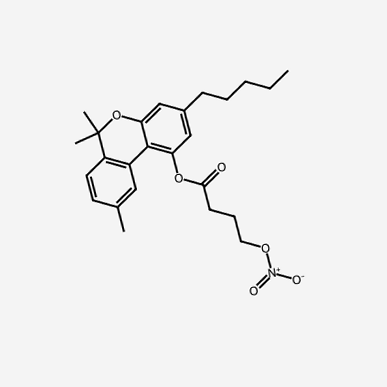 CCCCCc1cc(OC(=O)CCCO[N+](=O)[O-])c2c(c1)OC(C)(C)c1ccc(C)cc1-2